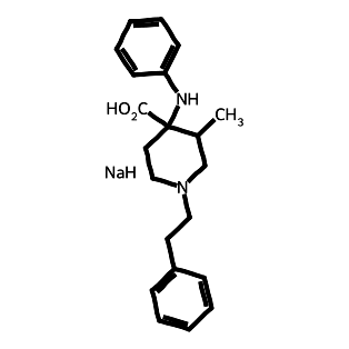 CC1CN(CCc2ccccc2)CCC1(Nc1ccccc1)C(=O)O.[NaH]